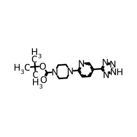 CC(C)(C)OC(=O)N1CCN(c2ccc(-c3nn[nH]n3)cn2)CC1